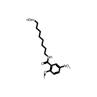 CCCCCCCCCCCCCCCCCCNC(=O)c1cc([N+](=O)[O-])ccc1OI